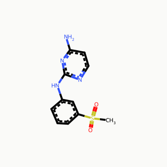 CS(=O)(=O)c1cccc(Nc2nccc(N)n2)c1